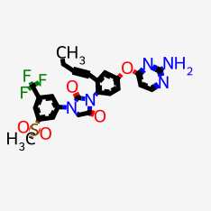 CCC#Cc1cc(Oc2ccnc(N)n2)ccc1N1C(=O)CN(c2cc(C(F)(F)F)cc(S(C)(=O)=O)c2)C1=O